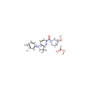 COC(=O)C[C@@H]1CCN(C(=O)c2ccc3c(n2)C(C)(C)CN3c2ccc(Cl)c(F)c2)C[C@H]1OC